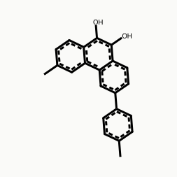 Cc1ccc(-c2ccc3c(O)c(O)c4ccc(C)cc4c3c2)cc1